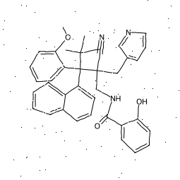 COc1ccccc1C(c1cccc2ccccc12)(C(C)(C)C)C(C#N)(CNC(=O)c1ccccc1O)Cc1cccnc1